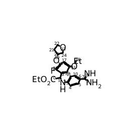 CCOC(=O)C(Nc1ccc(C(=N)N)cc1)c1cc(OCC)cc(O[C@@H]2CCOC2)c1F